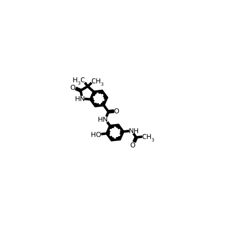 CC(=O)Nc1ccc(O)c(NC(=O)c2ccc3c(c2)NC(=O)C3(C)C)c1